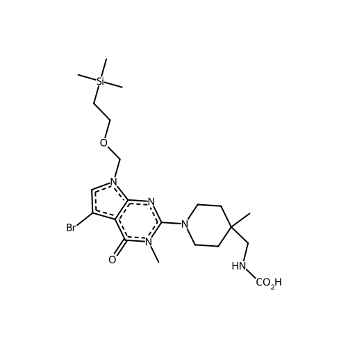 Cn1c(N2CCC(C)(CNC(=O)O)CC2)nc2c(c(Br)cn2COCC[Si](C)(C)C)c1=O